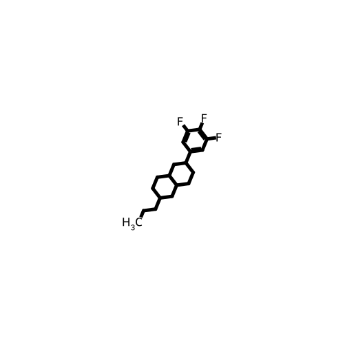 CCCC1CCC2CC(c3cc(F)c(F)c(F)c3)CCC2C1